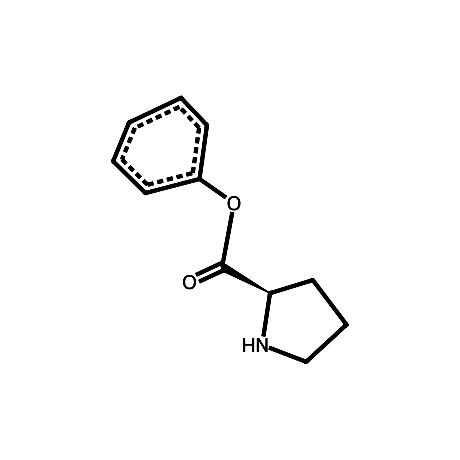 O=C(Oc1ccccc1)[C@H]1CCCN1